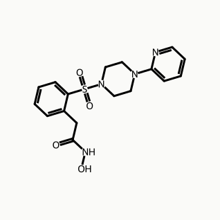 O=C(Cc1ccccc1S(=O)(=O)N1CCN(c2ccccn2)CC1)NO